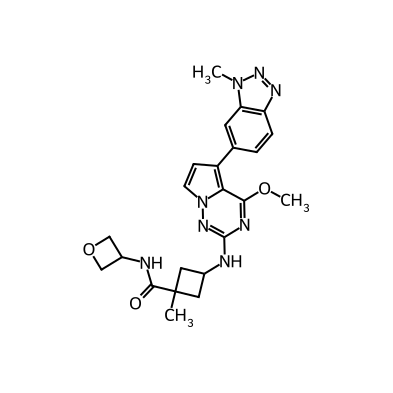 COc1nc(NC2CC(C)(C(=O)NC3COC3)C2)nn2ccc(-c3ccc4nnn(C)c4c3)c12